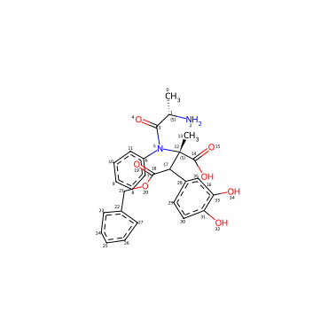 C[C@H](N)C(=O)N(c1ccccc1)[C@](C)(C(=O)O)C(C(=O)OCc1ccccc1)c1ccc(O)c(O)c1